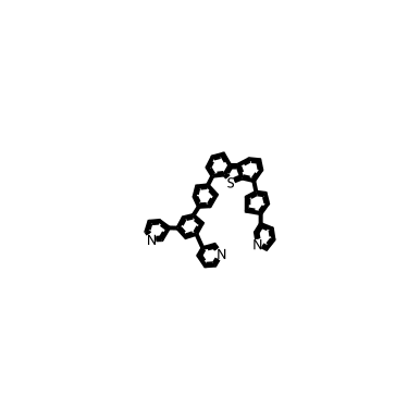 c1cncc(-c2ccc(-c3cccc4c3sc3c(-c5ccc(-c6cc(-c7cccnc7)cc(-c7cccnc7)c6)cc5)cccc34)cc2)c1